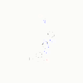 Cc1ccc(Nc2nc(Nc3ccc4c(c3)CC[C@@H](N3C5COCC3C5)CC4)ncc2Cl)c(P(C)(C)=O)c1